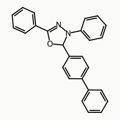 c1ccc(C2=NN(c3ccccc3)C(c3ccc(-c4ccccc4)cc3)O2)cc1